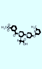 Cc1cccc(OC2CCN(C3CCN(C(=O)c4cccc(S(C)(=O)=O)c4)CC3)CC2)n1.O=C(O)C(F)(F)F